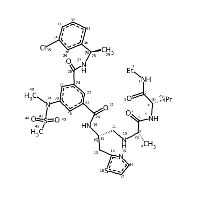 CCNC(=O)[C@@H](NC(=O)[C@H](C)NC[C@H](Cc1nccs1)NC(=O)c1cc(C(=O)N[C@H](C)c2cccc(Cl)c2)cc(N(C)S(C)(=O)=O)c1)C(C)C